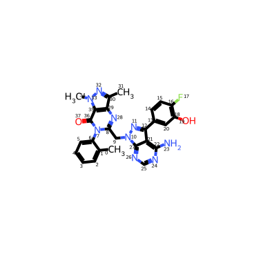 Cc1ccccc1-n1c(Cn2nc(-c3ccc(F)c(O)c3)c3c(N)ncnc32)nc2c(C)nn(C)c2c1=O